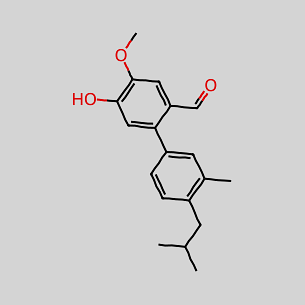 COc1cc(C=O)c(-c2ccc(CC(C)C)c(C)c2)cc1O